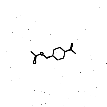 C=C(C)[C@H]1CC[C@@H](COC(C)=O)CC1